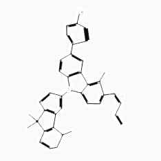 C=C/C=C\c1ccc2c(c1C)c1cc(-c3c#cc(Br)cc3)ccc1n2-c1ccc2c(c1)C1=C(C=CCC1C)C2(C)C